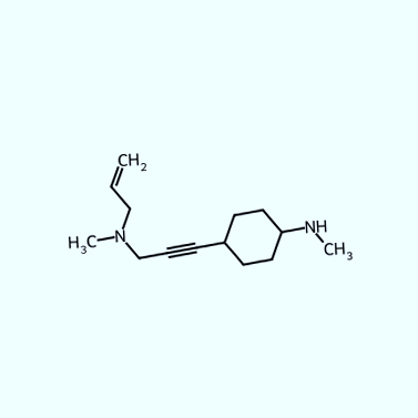 C=CCN(C)CC#CC1CCC(NC)CC1